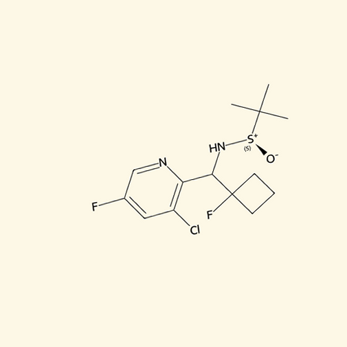 CC(C)(C)[S@@+]([O-])NC(c1ncc(F)cc1Cl)C1(F)CCC1